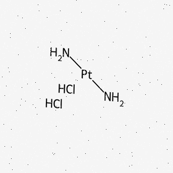 Cl.Cl.[NH2][Pt][NH2]